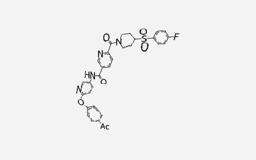 CC(=O)c1ccc(Oc2ccc(NC(=O)c3ccc(C(=O)N4CCC(S(=O)(=O)c5ccc(F)cc5)CC4)nc3)cn2)cc1